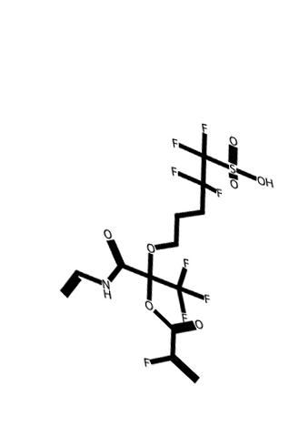 C=CNC(=O)C(OCCCC(F)(F)C(F)(F)S(=O)(=O)O)(OC(=O)C(=C)F)C(F)(F)F